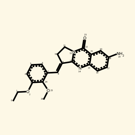 CCOc1cccc(C=C2CCn3c2nc2ccc(N)cc2c3=O)c1OC